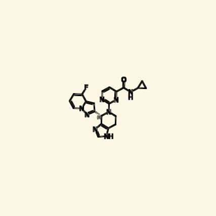 O=C(NC1CC1)c1ccnc(N2CCc3[nH]cnc3[C@@H]2c2cc3c(F)cccn3n2)n1